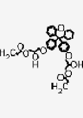 C=CC(=O)OCC(O)COc1ccc(C2(c3ccc(OCC(O)COC(=O)C=C)cc3)c3ccccc3Oc3ccccc32)cc1